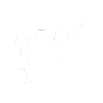 CCS(=O)(=O)N1CCC(CC#N)(n2cc(-c3cccc4nc(NC(=O)C5CC5)cn34)cn2)CC1